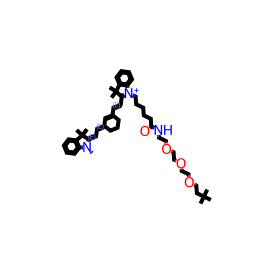 CN1/C(=C/C=C2C=C(/C=C/C3=[N+](CCCCCC(=O)NCCOCCOCCOCCC(C)(C)C)c4ccccc4C3(C)C)CCC/2)C(C)(C)c2ccccc21